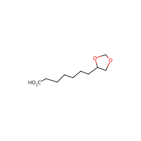 O=C(O)CCCCCCC1COCO1